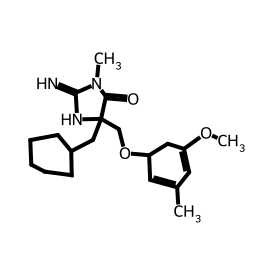 COC1=CC(C)=CC(OCC2(CC3CCCCC3)NC(=N)N(C)C2=O)C1